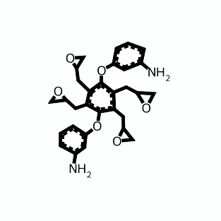 Nc1cccc(Oc2c(CC3CO3)c(CC3CO3)c(Oc3cccc(N)c3)c(CC3CO3)c2CC2CO2)c1